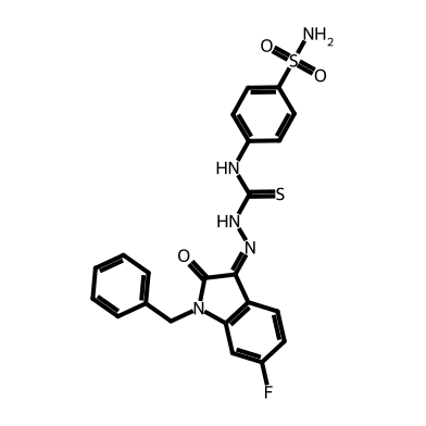 NS(=O)(=O)c1ccc(NC(=S)NN=C2C(=O)N(Cc3ccccc3)c3cc(F)ccc32)cc1